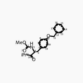 COC(=O)N[C@@H](Cc1ccc(OCc2ccccc2)cc1)C(=O)C(C)C